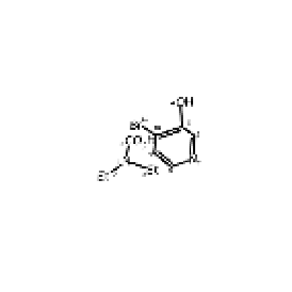 CCN(CC)C(=O)O.Oc1cnccc1Br